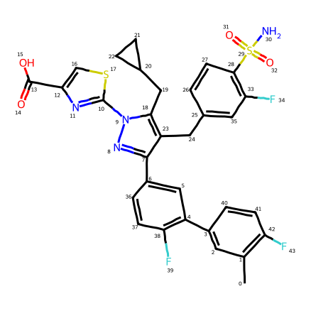 Cc1cc(-c2cc(-c3nn(-c4nc(C(=O)O)cs4)c(CC4CC4)c3Cc3ccc(S(N)(=O)=O)c(F)c3)ccc2F)ccc1F